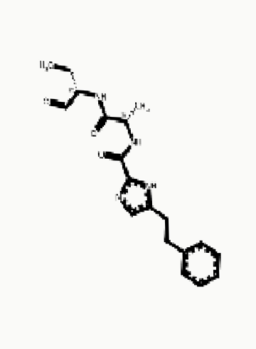 CC[C@@H](C=O)NC(=O)[C@H](C)NC(=O)c1ncc(CCc2ccccc2)[nH]1